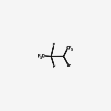 FC(F)(F)C(Br)C(F)(F)C(F)(F)F